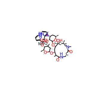 CO[C@]1(C)CC(O[C@@H]2C(C)C(=O)NCCC(=O)N(C)C[C@H](C)C[C@@](C)(O)[C@H](OC3O[C@H](C)C[C@H](N(C)C)[C@H]3OC(=O)c3ccc[nH]3)[C@H]2C)O[C@@H](C)[C@@H]1OC(=O)c1ccc[nH]1